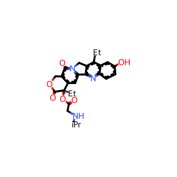 CCc1c2c(nc3ccc(O)cc13)-c1cc3c(c(=O)n1C2)COC(=O)[C@@]3(CC)OC(=O)CNC(C)C